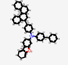 C1=c2oc3cc(N(c4ccc(-c5ccccc5)cc4)c4ccc(-c5cc6ccc7ccccc7c6c6ccccc56)cc4)ccc3c2=CCC1